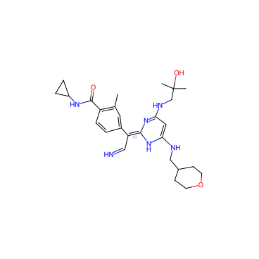 Cc1cc(/C(C=N)=C2\N=C(NCC(C)(C)O)C=C(NCC3CCOCC3)N2)ccc1C(=O)NC1CC1